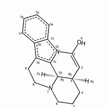 OC1=C[C@H]2CCCN3CCc4c(n1c1ccccc41)[C@@H]23